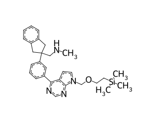 CNCC1(c2cccc(-c3ncnc4c3ccn4COCC[Si](C)(C)C)c2)Cc2ccccc2C1